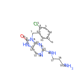 Cc1ccc(Cl)c(Cn2c(=O)[nH]c3cnc(NCCCN)nc32)c1